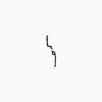 CCCCCCCCCc1ccc(OC(=O)c2sc3cc(CCCCCCC)sc3c2Cl)cc1